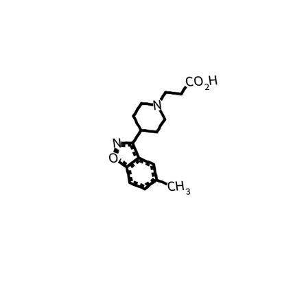 Cc1ccc2onc(C3CCN(CCC(=O)O)CC3)c2c1